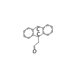 O=CCC12CCC(c3ccccc31)c1ccccc12